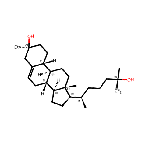 CC[C@]1(O)CC[C@H]2C(=CC[C@@H]3[C@@H]2CC[C@]2(C)[C@@H]([C@H](C)CCC[C@](C)(O)C(F)(F)F)CC[C@@H]32)C1